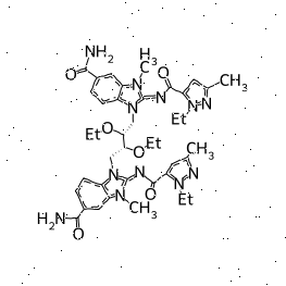 CCO[C@H](Cn1/c(=N/C(=O)c2cc(C)nn2CC)n(C)c2cc(C(N)=O)ccc21)[C@@H](Cn1/c(=N/C(=O)c2cc(C)nn2CC)n(C)c2cc(C(N)=O)ccc21)OCC